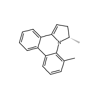 Cc1cccc2c1N1C(=CC[C@@H]1C)c1ccccc1-2